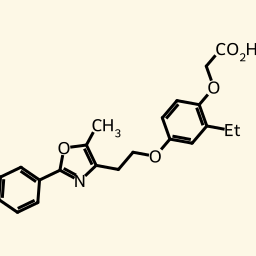 CCc1cc(OCCc2nc(-c3ccccc3)oc2C)ccc1OCC(=O)O